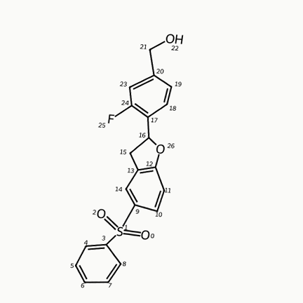 O=S(=O)(c1ccccc1)c1ccc2c(c1)CC(c1ccc(CO)cc1F)O2